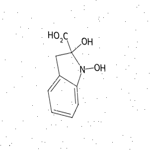 O=C(O)C1(O)Cc2ccccc2N1O